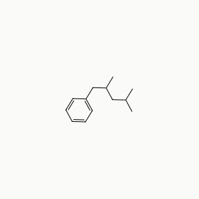 CC(C)CC(C)Cc1ccccc1